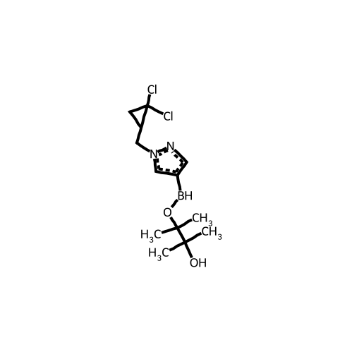 CC(C)(O)C(C)(C)OBc1cnn(CC2CC2(Cl)Cl)c1